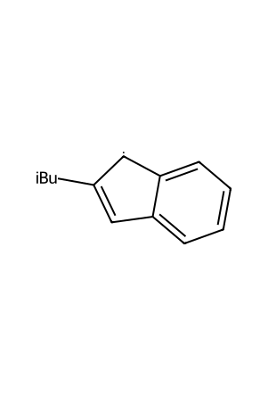 CCC(C)C1=Cc2ccccc2[CH]1